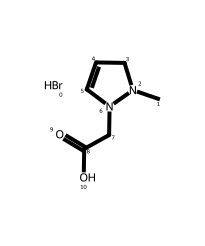 Br.CN1CC=CN1CC(=O)O